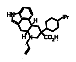 C=CCN1CC(C(=O)O)(C2CCC(C(C)C)CC2)C[C@@H]2c3cccc4[nH]cc(c34)C[C@H]21